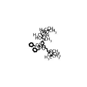 CC(C)[C@H](NC(=O)OC(C)(C)C)C(O)N(C)[C@H]1CN(C(=O)OCc2ccccc2)[C@@](CCCCB2OC(C)(C)C(C)(C)O2)(C(=O)OCc2ccccc2)C1